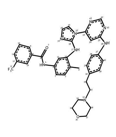 Cc1ccc(NC(=O)c2cccc(C(F)(F)F)c2)cc1Nc1nccn1-c1cc(Nc2ccc(CCN3CCOCC3)cc2)ncn1